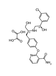 NC(=O)c1cccnc1Oc1ccc(C[C@@H](CO)NC[C@H](O)c2cccc(Cl)c2)cc1.O=C(O)C(=O)O